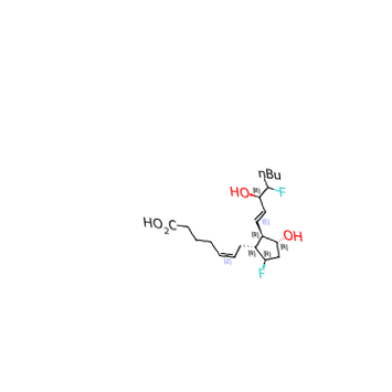 CCCCC(F)[C@H](O)/C=C/[C@@H]1[C@@H](C/C=C\CCCC(=O)O)[C@H](F)C[C@H]1O